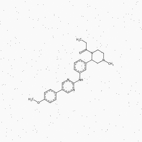 CCC(=O)N1CCN(C)CC1c1cccc(Nc2ncc(-c3ccc(OC)cc3)cn2)c1